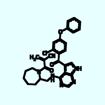 C=C(C#N)C(=O)N1CCCCCC1CNc1ncnc2[nH]cc(C(=O)c3ccc(Oc4ccccc4)cc3Cl)c12